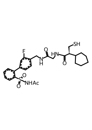 CC(=O)NS(=O)(=O)c1ccccc1-c1ccc(CNC(=O)CNC(=O)[C@@H](CS)C2CCCCC2)c(F)c1